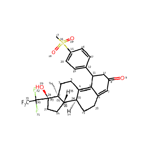 C[C@]12CCC3=C4C(=CC(=O)CC4c4ccc(S(C)(=O)=O)cc4)CC[C@H]3[C@@H]1CC[C@]2(O)C(F)(F)C(F)(F)F